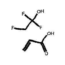 C=CC(=O)O.OC(F)(F)CF